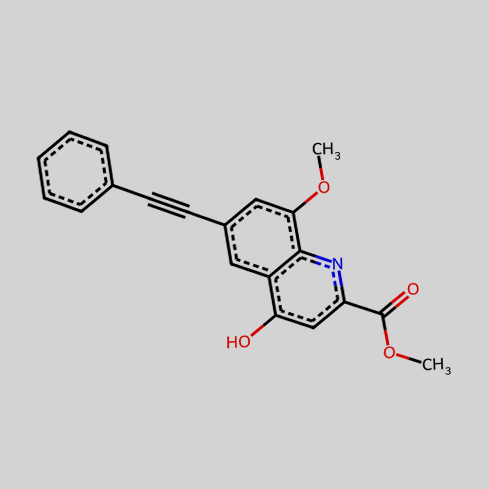 COC(=O)c1cc(O)c2cc(C#Cc3ccccc3)cc(OC)c2n1